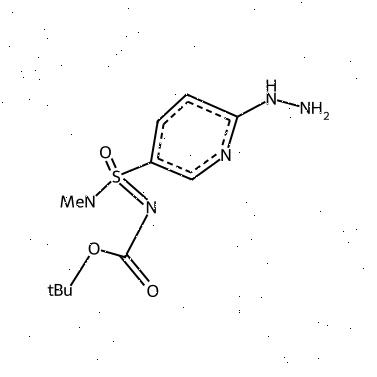 CNS(=O)(=NC(=O)OC(C)(C)C)c1ccc(NN)nc1